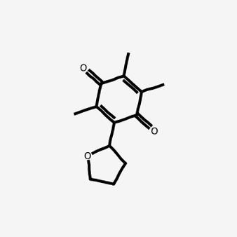 CC1=C(C)C(=O)C(C2CCCO2)=C(C)C1=O